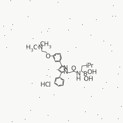 CC(C)CC(NC(=O)Cn1nc(-c2cccc(OCCN(C)C)c2)cc1-c1ccccc1)B(O)O.Cl